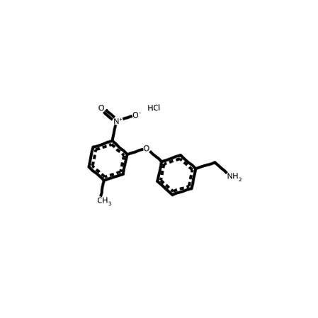 Cc1ccc([N+](=O)[O-])c(Oc2cccc(CN)c2)c1.Cl